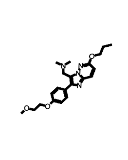 CCCOc1ccc2nc(-c3ccc(OCCOC)cc3)c(CN(C)C)n2n1